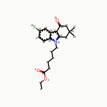 CCOC(=O)CCCCCn1c2c(c3cc(F)ccc31)C(=O)CC(C)(C)C2